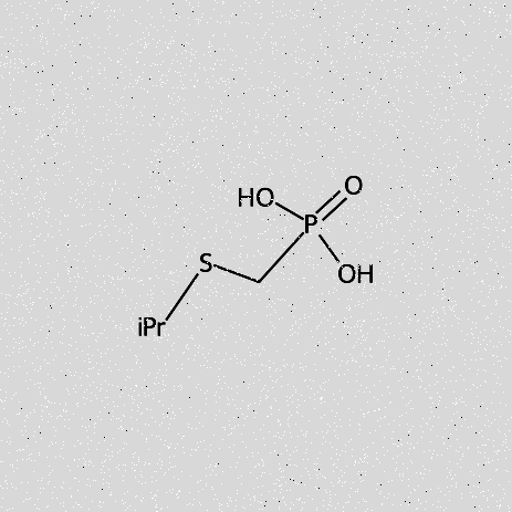 CC(C)SCP(=O)(O)O